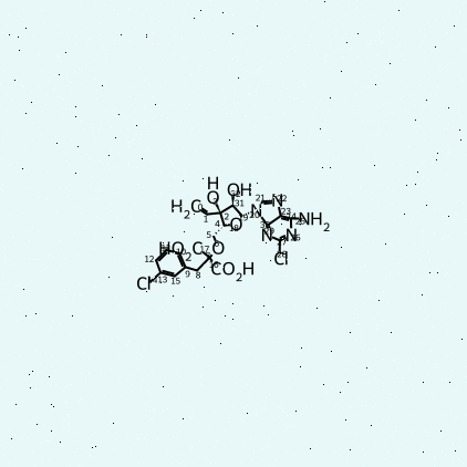 C=C[C@@]1(O)[C@@H](COC(Cc2cccc(Cl)c2)(C(=O)O)C(=O)O)O[C@@H](n2cnc3c(N)nc(Cl)nc32)[C@@H]1O